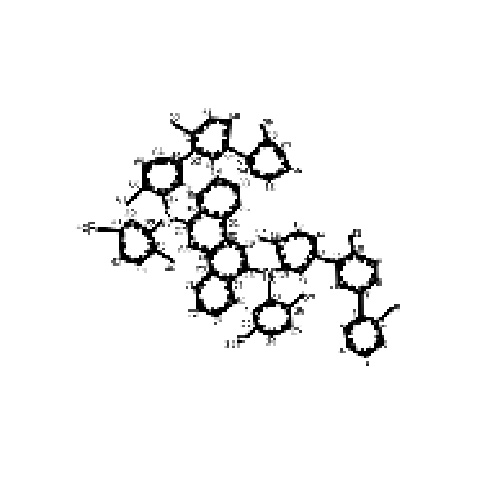 Cc1ccccc1-c1ccc(C)c(-c2ccc(C)c(N(c3cc(F)ccc3C)c3cc4c5ccccc5c(N(c5cc(F)ccc5C)c5cc(-c6cc(-c7ccccc7C)ccc6C)ccc5C)cc4c4ccccc34)c2)c1